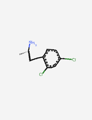 C[C@H](N)Cc1ccc(Cl)cc1Cl